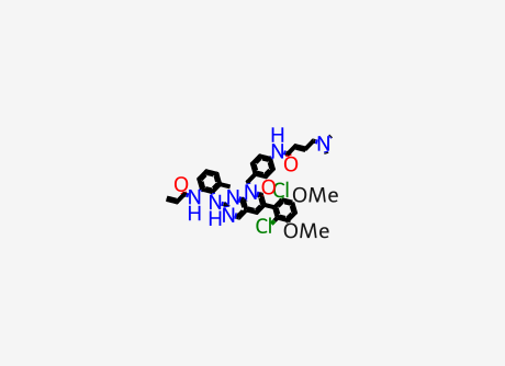 C=CC(=O)Nc1cccc(C)c1Nc1ncc2cc(-c3c(Cl)c(OC)cc(OC)c3Cl)c(=O)n(Cc3ccc(NC(=O)/C=C/CN(C)C)cc3)c2n1